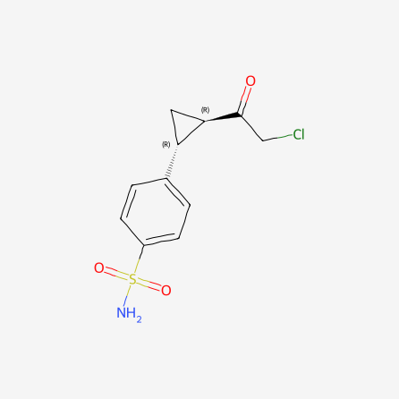 NS(=O)(=O)c1ccc([C@@H]2C[C@H]2C(=O)CCl)cc1